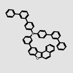 c1ccc(-c2cccc(-c3ccc(N(c4ccc(-c5cccc(-c6ccccc6)c5)cc4)c4cccc(-c5ccc6oc7ccc8ccccc8c7c6c5)c4)cc3)c2)cc1